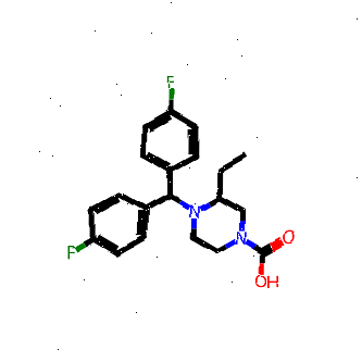 CCC1CN(C(=O)O)CCN1C(c1ccc(F)cc1)c1ccc(F)cc1